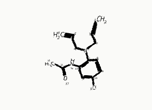 C=CCN(CC=C)c1ccc(Cl)cc1NC(C)=O